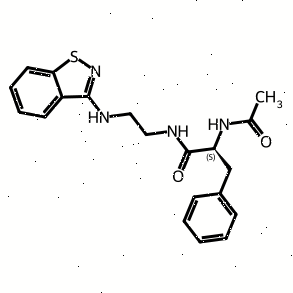 CC(=O)N[C@@H](Cc1ccccc1)C(=O)NCCNc1nsc2ccccc12